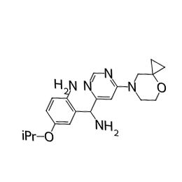 CC(C)Oc1ccc(N)c(C(N)c2cc(N3CCOC4(CC4)C3)ncn2)c1